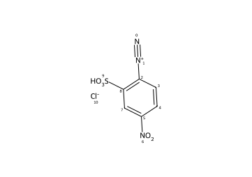 N#[N+]c1ccc([N+](=O)[O-])cc1S(=O)(=O)O.[Cl-]